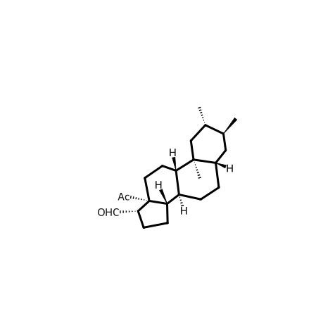 CC(=O)[C@]12CC[C@H]3[C@@H](CC[C@H]4C[C@H](C)[C@@H](C)C[C@@]43C)[C@@H]1CC[C@@H]2C=O